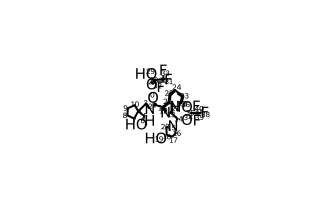 O=C(NCC1(CO)CCCC1)c1nc(CN2CCC(O)C2)n2ccccc12.O=C(O)C(F)(F)F.O=C(O)C(F)(F)F